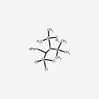 CCCCCC(N([Si](C)(C)C)[Si](C)(C)C)[Si](Cl)(Cl)Cl